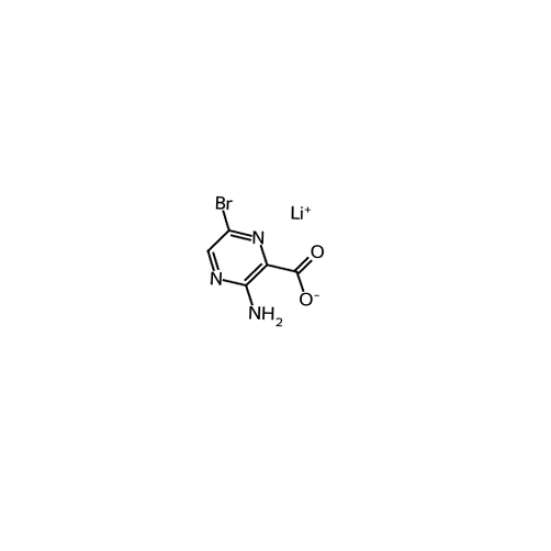 Nc1ncc(Br)nc1C(=O)[O-].[Li+]